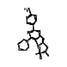 CN(Cc1cc2nc(-c3cnc(N)nc3)nc(N3CCOCC3)c2s1)S(C)(=O)=O